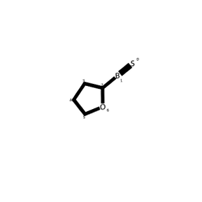 S=BC1CCCO1